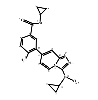 Cc1ccc(C(=O)NC2CC2)cc1-c1ccn2c(N(C)C3CC3)nnc2c1